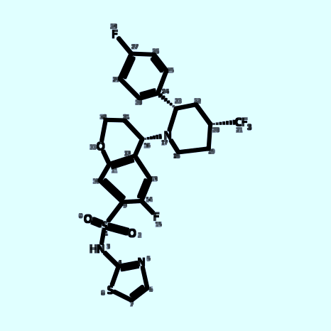 O=S(=O)(Nc1nccs1)c1cc2c(cc1F)[C@@H](N1CC[C@@H](C(F)(F)F)C[C@H]1c1ccc(F)cc1)CCO2